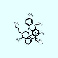 CCCCN1CCC2(c3c(CC)ccc(OC)c3Oc3ccc(C)cc3)C(C(C)N(C)Br)C3CCC2(C3)C1C